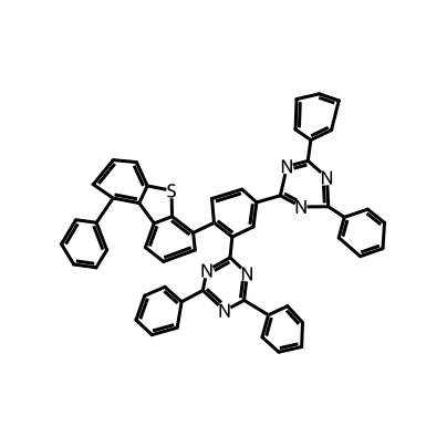 c1ccc(-c2nc(-c3ccccc3)nc(-c3ccc(-c4cccc5c4sc4cccc(-c6ccccc6)c45)c(-c4nc(-c5ccccc5)nc(-c5ccccc5)n4)c3)n2)cc1